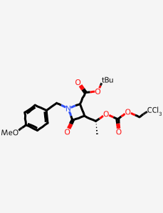 COc1ccc(CN2C(=O)C([C@@H](C)OC(=O)OCC(Cl)(Cl)Cl)C2C(=O)OC(C)(C)C)cc1